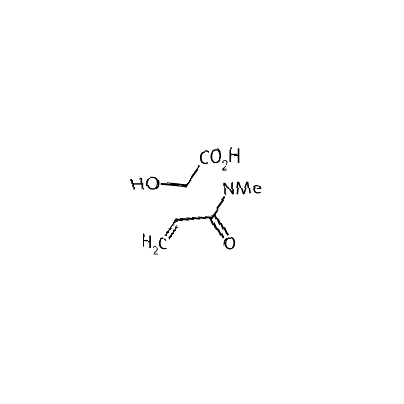 C=CC(=O)NC.O=C(O)CO